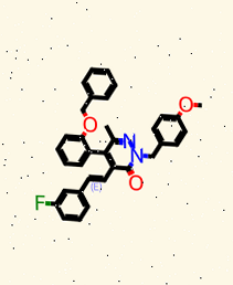 COc1ccc(Cn2nc(C)c(-c3ccccc3OCc3ccccc3)c(/C=C/c3cccc(F)c3)c2=O)cc1